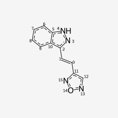 C(=Cc1n[nH]c2ccccc12)c1cnon1